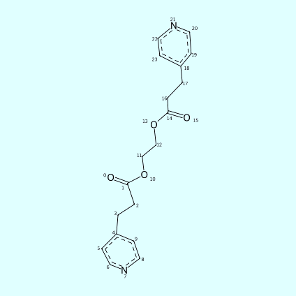 O=C(CCc1ccncc1)OCCOC(=O)CCc1ccncc1